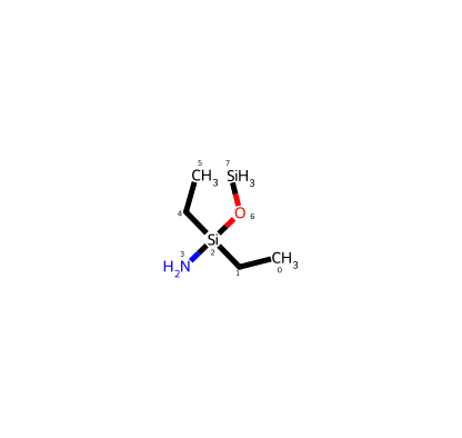 CC[Si](N)(CC)O[SiH3]